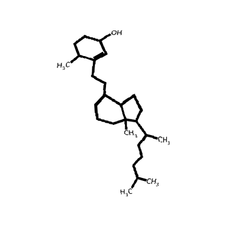 CC(C)CCCC(C)C1CCC2C(CCC3=CC(O)CCC3C)CCCC12C